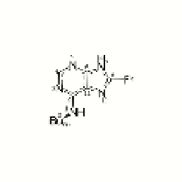 CC[C@H](C)Nc1ncnc2[nH]c(F)nc12